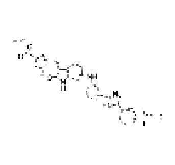 COC(=O)c1c[nH]c(/C=C2\C(=O)Nc3cc(Nc4cccc(-c5nnc(-c6cccc(C(C)(F)F)c6)[nH]5)c4)ccc32)c1